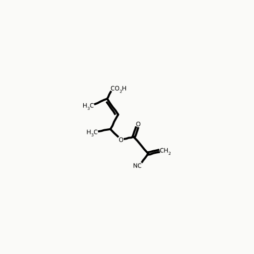 C=C(C#N)C(=O)OC(C)C=C(C)C(=O)O